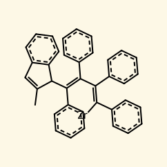 CC1=Cc2ccccc2C1C(=C(C(=[C]([Zr])c1ccccc1)c1ccccc1)c1ccccc1)c1ccccc1